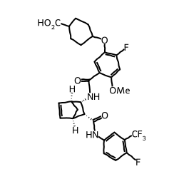 COc1cc(F)c(OC2CCC(C(=O)O)CC2)cc1C(=O)N[C@@H]1[C@H](C(=O)Nc2ccc(F)c(C(F)(F)F)c2)[C@H]2C=C[C@@H]1C2